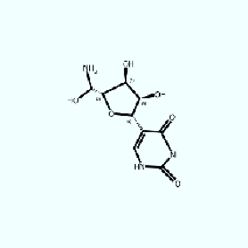 NC(O)[C@H]1O[C@@H](c2c[nH]c(=O)[nH]c2=O)[C@H](O)[C@@H]1O